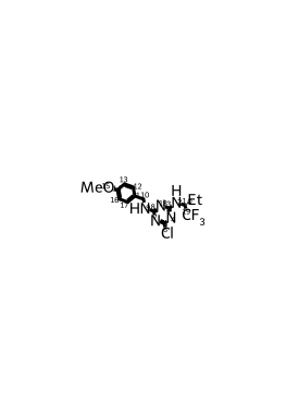 CC[C@@H](Nc1nc(Cl)nc(NCc2ccc(OC)cc2)n1)C(F)(F)F